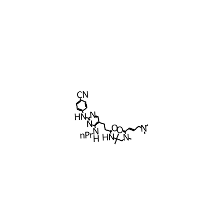 CCCNc1nc(Nc2ccc(C#N)cc2)ncc1CCC(=O)NC(C)(C)CN(C)C(=O)/C=C/CN(C)C